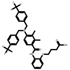 Cc1c(C(=O)Nc2ccccc2OCCCC(=O)O)ccc(N(Cc2ccc(C(F)(F)F)cc2)Cc2ccc(C(F)(F)F)cc2)c1C